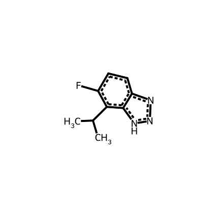 CC(C)c1c(F)ccc2nn[nH]c12